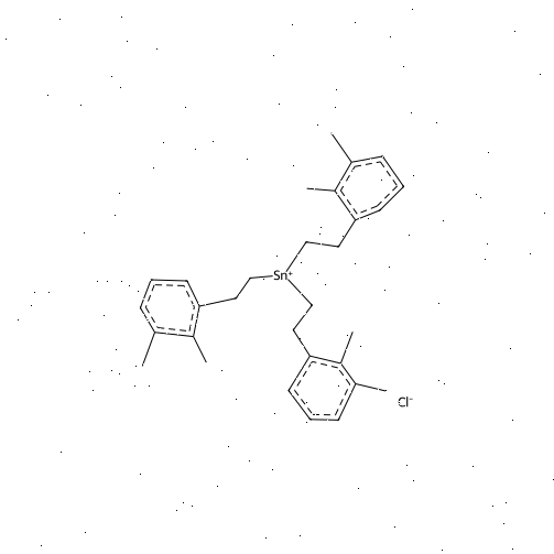 Cc1cccc(C[CH2][Sn+]([CH2]Cc2cccc(C)c2C)[CH2]Cc2cccc(C)c2C)c1C.[Cl-]